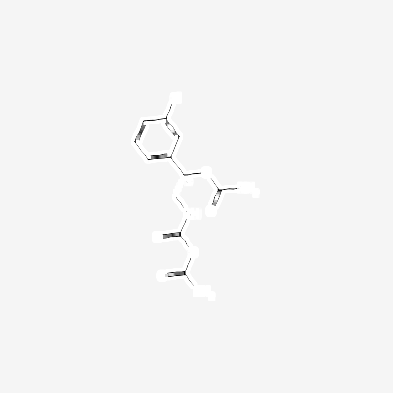 NC(=O)OC(=O)NC[C@@H](OC(N)=O)c1cccc(Cl)c1